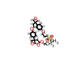 CCOC(=O)CC1(c2ccc(OCCC3(c4ccc(OCCCS(C)(=O)=O)cc4)COC3)cc2)COC1